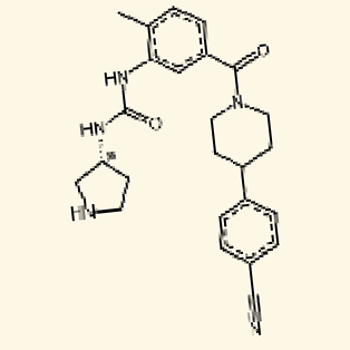 Cc1ccc(C(=O)N2CCC(c3ccc(C#N)cc3)CC2)cc1NC(=O)N[C@@H]1CCNC1